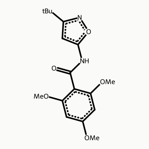 COc1cc(OC)c(C(=O)Nc2cc(C(C)(C)C)no2)c(OC)c1